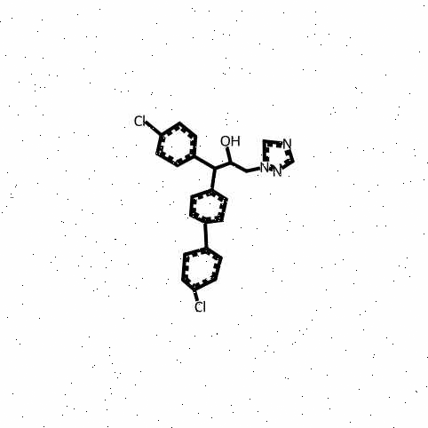 OC(Cn1cncn1)C(c1ccc(Cl)cc1)c1ccc(-c2ccc(Cl)cc2)cc1